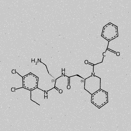 CCc1c(NC(=O)[C@H](CCN)NC(=O)C[C@@H]2Cc3ccccc3CN2C(=O)CCC(=O)c2ccccc2)ccc(Cl)c1Cl